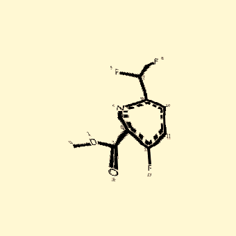 COC(=O)c1nc(C(F)F)ccc1F